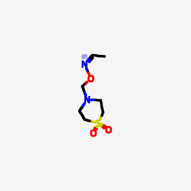 C/C=N\OCN1CCS(=O)(=O)CC1